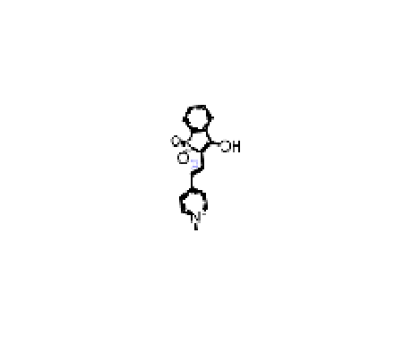 C[n+]1ccc(/C=C/C2=C(O)c3ccccc3S2(=O)=O)cc1